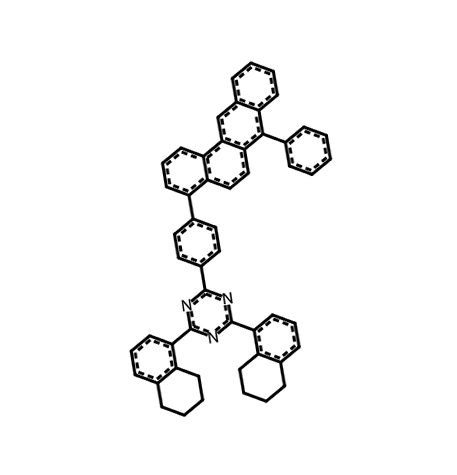 c1ccc(-c2c3ccccc3cc3c2ccc2c(-c4ccc(-c5nc(-c6cccc7c6CCCC7)nc(-c6cccc7c6CCCC7)n5)cc4)cccc23)cc1